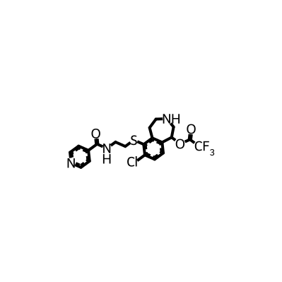 O=C(NCCSc1c(Cl)ccc2c1CCNCC2OC(=O)C(F)(F)F)c1ccncc1